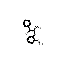 CCCOc1ccccc1OC(OC)=C(C(=O)O)c1ccccc1